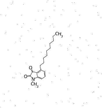 CCCCCCCCCCc1cccc2c1C(=O)C(=O)N2C